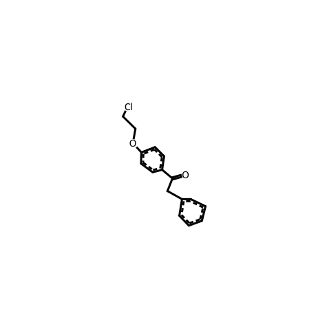 O=C(Cc1ccccc1)c1ccc(OCCCl)cc1